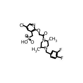 C[C@@H]1CN(Cc2ccc(F)c(F)c2)[C@@H](C)CN1C(=O)COc1ncc(Cl)cc1CS(=O)(=O)O